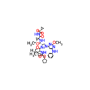 C=C[C@@H]1C[C@]1(NC(=O)[C@@H]1CN(c2cc(Nc3ccccc3)nc(OC)n2)CN1C(=O)[C@@H](NC(=O)OC1CCCC1)C(C)(C)C)C(=O)NS(=O)(=O)C1CC1